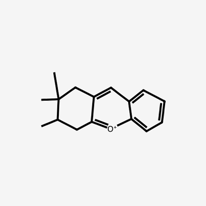 CC1Cc2[o+]c3ccccc3cc2CC1(C)C